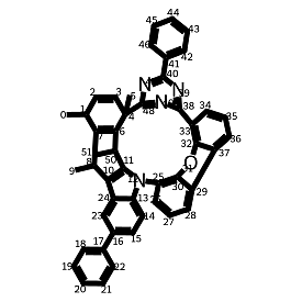 CC1C=CC2(C)C3=C1C(C)c1c(n(c4ccc(-c5ccccc5)cc14)-c1cccc4c1oc1c(cccc14)-c1nc(-c4ccccc4)nc2n1)C3C